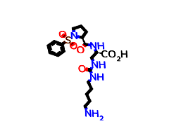 NCCCCCNC(=O)NC[C@H](NC(=O)[C@@H]1CCCN1S(=O)(=O)c1ccccc1)C(=O)O